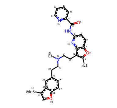 CCc1oc2ccc(NC(=O)c3ccccn3)nc2c1CCN(CC)CCc1ccc2occ(SC)c2c1